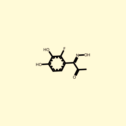 CC(=O)C(=NO)c1ccc(O)c(O)c1F